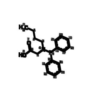 CCCCN(CC(=O)O)P(c1ccccc1)c1ccccc1